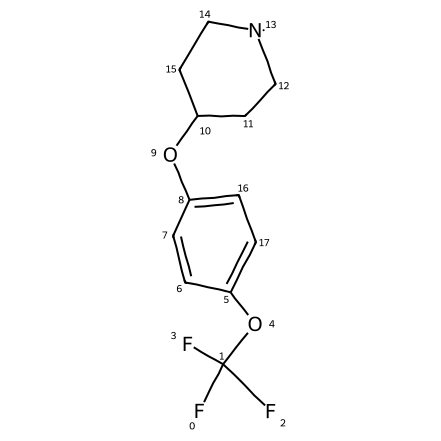 FC(F)(F)Oc1ccc(OC2CC[N]CC2)cc1